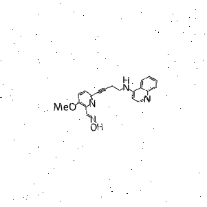 COc1ccc(C#CCCNc2ccnc3ccccc23)nc1C=NO